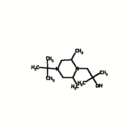 CC1CN(C(C)(C)C)CC(C)N1CC(C)(C)O